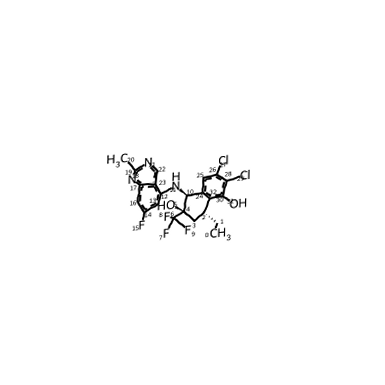 CC[C@@H]1C[C@](O)(C(F)(F)F)[C@@H](Nc2cc(F)cc3nc(C)ncc23)c2cc(Cl)c(Cl)c(O)c21